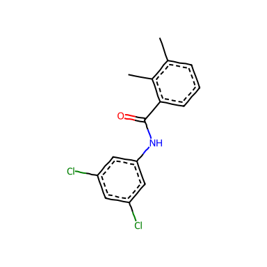 Cc1cccc(C(=O)Nc2cc(Cl)cc(Cl)c2)c1C